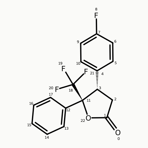 O=C1C[C@@H](c2ccc(F)cc2)[C@](c2ccccc2)(C(F)(F)F)O1